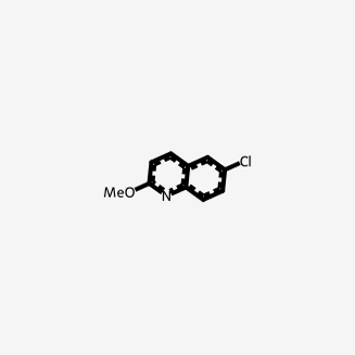 COc1ccc2cc(Cl)ccc2n1